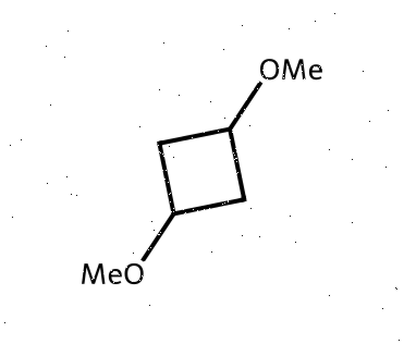 COC1CC(OC)C1